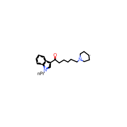 CCCn1cc(C(=O)CCCCCN2CC[CH]CC2)c2ccccc21